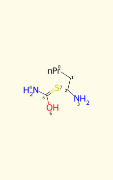 CCCCCN.NC(O)=S